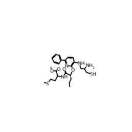 CCC[C@H](Oc1nc(-c2ccccc2)ccc1NCC(N)CS)C(=O)NC(CCSC)C(=O)OC